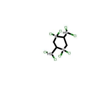 Cl[SiH](Cl)C1C[Si](Cl)(Cl)C([SiH](Cl)Cl)C[Si]1(Cl)Cl